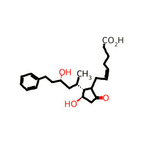 CC(C[C@@H](O)CCc1ccccc1)[C@@H]1C(C/C=C\CCCC(=O)O)C(=O)C[C@H]1O